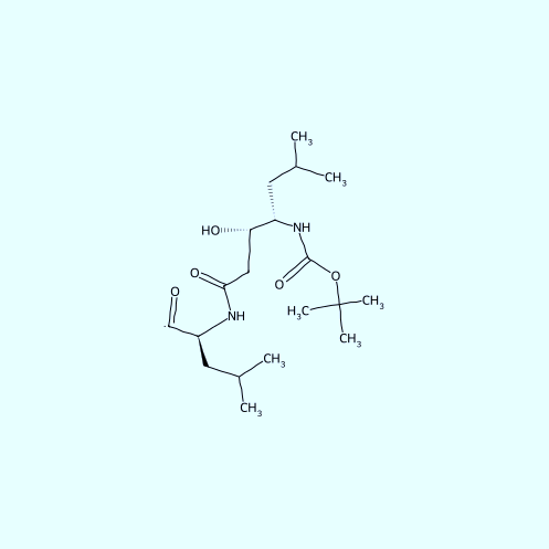 CC(C)C[C@@H]([C]=O)NC(=O)C[C@H](O)[C@H](CC(C)C)NC(=O)OC(C)(C)C